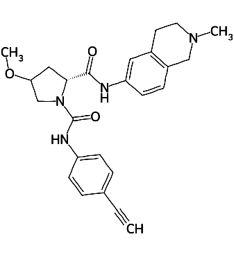 C#Cc1ccc(NC(=O)N2CC(OC)C[C@@H]2C(=O)Nc2ccc3c(c2)CCN(C)C3)cc1